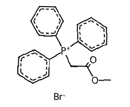 COC(=O)C[P+](c1ccccc1)(c1ccccc1)c1ccccc1.[Br-]